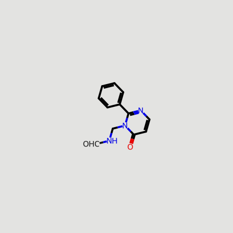 O=CNCn1c(-c2ccccc2)nccc1=O